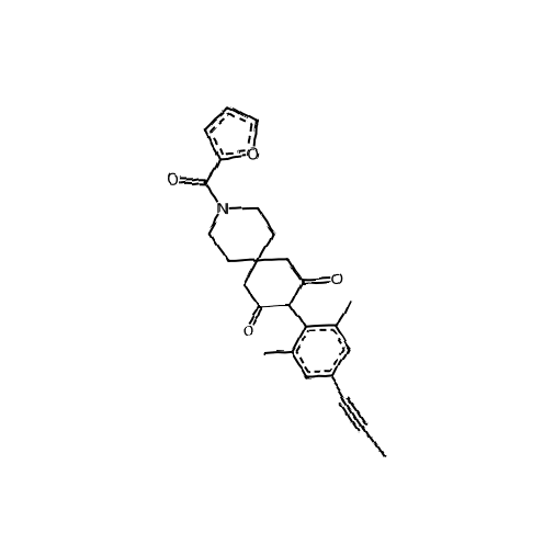 CC#Cc1cc(C)c(C2C(=O)CC3(CCN(C(=O)c4ccco4)CC3)CC2=O)c(C)c1